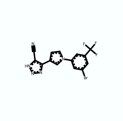 N#Cc1[nH]nnc1-c1ccn(-c2cc(Br)cc(C(F)(F)F)c2)c1